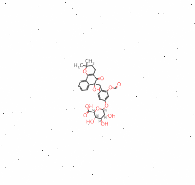 CC1(C)CCC2=C(O1)c1ccccc1C(O)(Cc1ccc(O[C@@H]3O[C@H](C(=O)O)[C@@H](O)[C@H](O)[C@H]3O)cc1OC=O)C2=O